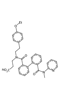 CCOc1ccc(CCN(CCC(=O)O)C(=O)c2ccccc2-c2ccccc2C(=O)N(C)c2ccccn2)cc1